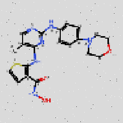 O=C(NO)c1ccsc1Nc1nc(Nc2ccc(N3CCOCC3)cc2)ncc1C(F)(F)F